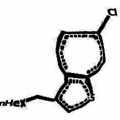 [CH2]CCCCCc1csc2cc(Cl)ccc12